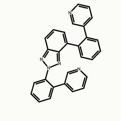 c1cncc(-c2ccccc2-c2cccc3nn(-c4ccccc4-c4cccnc4)nc23)c1